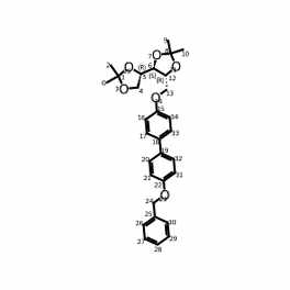 CC1(C)OC[C@H]([C@H]2OC(C)(C)O[C@@H]2COc2ccc(-c3ccc(OCc4ccccc4)cc3)cc2)O1